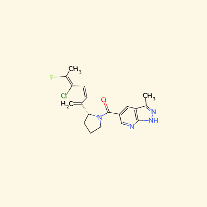 C=C(/C=C\C(Cl)=C(/C)F)[C@H]1CCCN1C(=O)c1cnc2[nH]nc(C)c2c1